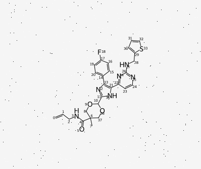 C=CCNC(=O)C1(C)COC(c2nc(-c3ccc(F)cc3)c(-c3ccnc(NCc4cccs4)n3)[nH]2)OC1